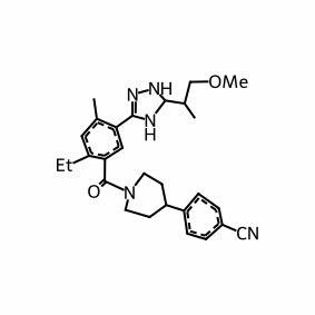 CCc1cc(C)c(C2=NNC(C(C)COC)N2)cc1C(=O)N1CCC(c2ccc(C#N)cc2)CC1